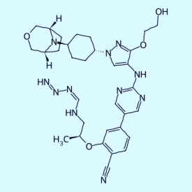 C[C@@H](CN/C=N\N=N)Oc1cc(-c2cnc(Nc3cn([C@H]4CC[C@H](N5[C@@H]6CC[C@H]5COC6)CC4)nc3OCCO)nc2)ccc1C#N